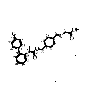 O=C(O)COCC1CCC(COC(=O)Nc2ccccc2-c2ccc(Cl)cc2)CC1